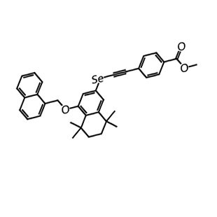 COC(=O)c1ccc(C#C[Se]c2cc(OCc3cccc4ccccc34)c3c(c2)C(C)(C)CCC3(C)C)cc1